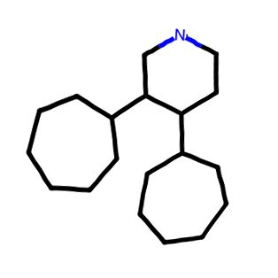 C1CCCC(C2CC[N]CC2C2CCCCCC2)CC1